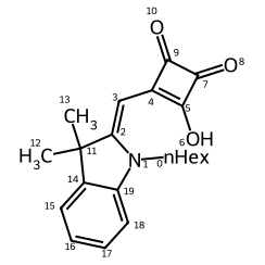 CCCCCCN1C(=Cc2c(O)c(=O)c2=O)C(C)(C)c2ccccc21